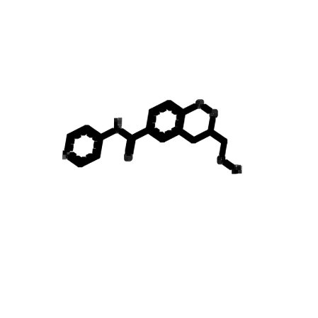 CCOCC1Cc2cc(C(=O)Nc3ccncc3)ccc2OO1